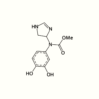 COC(=O)N(c1ccc(O)c(O)c1)C1CNC=N1